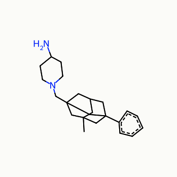 CC12CC3CC(CN4CCC(N)CC4)(C1)CC(c1ccccc1)(C3)C2